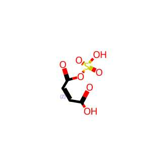 O=C(O)/C=C\C(=O)OS(=O)(=O)O